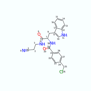 N#CCCNC(=O)C(Cc1c[nH]c2ccccc12)NC(=O)c1ccc(CCl)cc1